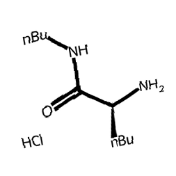 CCCCNC(=O)[C@@H](N)CCCC.Cl